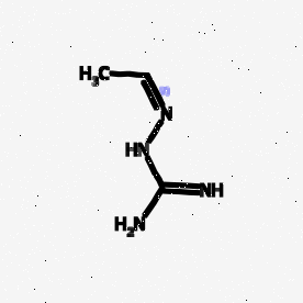 C/C=N\NC(=N)N